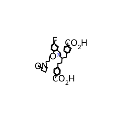 O=C(O)c1ccc(CCC(/C=C/c2cc(F)ccc2OCCCN2CCCC2=O)Cc2ccc(C(=O)O)cc2)cc1